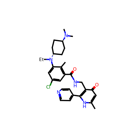 CCN(c1cc(Cl)cc(C(=O)NCc2c(-c3ccncc3)[nH]c(C)cc2=O)c1C)[C@H]1CC[C@H](N(C)C)CC1